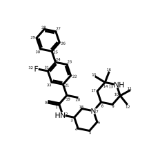 C=C(NC1CCCN(C2CC(C)(C)NC(C)(C)C2)C1)C(C)c1ccc(-c2ccccc2)c(F)c1